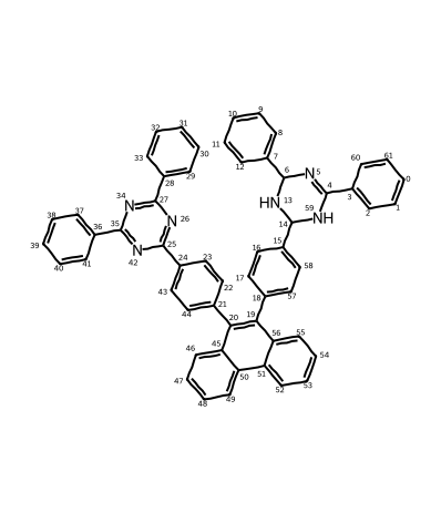 c1ccc(C2=NC(c3ccccc3)NC(c3ccc(-c4c(-c5ccc(-c6nc(-c7ccccc7)nc(-c7ccccc7)n6)cc5)c5ccccc5c5ccccc45)cc3)N2)cc1